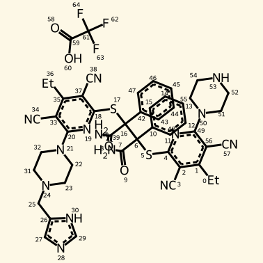 CCc1c(C#N)c(SC(C(N)=O)(c2ccccc2)C(Sc2nc(N3CCN(Cc4cnc[nH]4)CC3)c(C#N)c(CC)c2C#N)(C(N)=O)c2ccccc2)nc(N2CCNCC2)c1C#N.O=C(O)C(F)(F)F